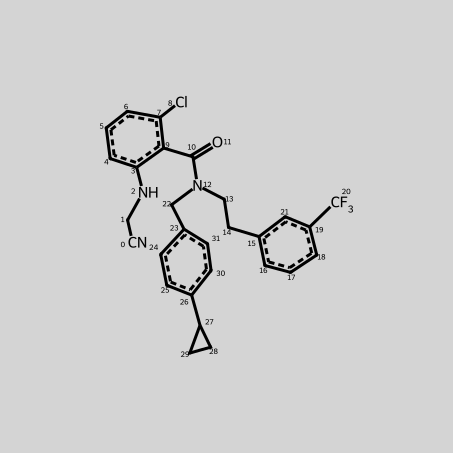 N#CCNc1cccc(Cl)c1C(=O)N(CCc1cccc(C(F)(F)F)c1)Cc1ccc(C2CC2)cc1